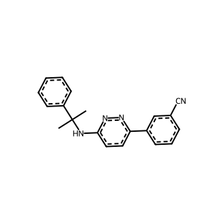 CC(C)(Nc1ccc(-c2cccc(C#N)c2)nn1)c1ccccc1